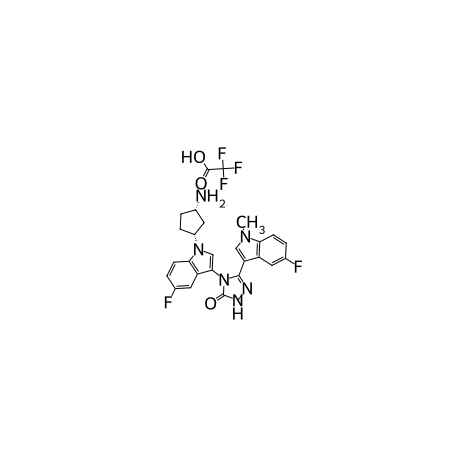 Cn1cc(-c2n[nH]c(=O)n2-c2cn([C@@H]3CC[C@H](N)C3)c3ccc(F)cc23)c2cc(F)ccc21.O=C(O)C(F)(F)F